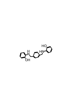 Oc1ccccc1NCc1ccc(CNc2ccccc2O)cc1